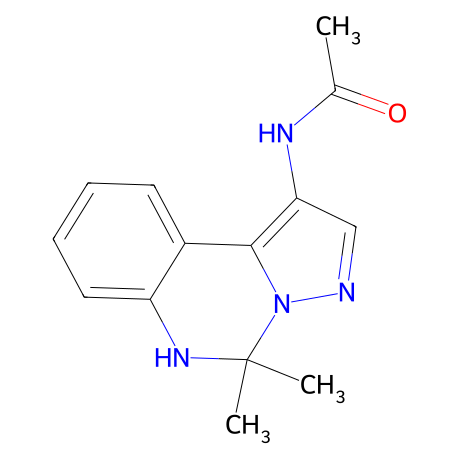 CC(=O)Nc1cnn2c1-c1ccccc1NC2(C)C